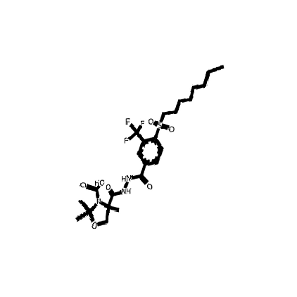 CCCCCCCCS(=O)(=O)c1ccc(C(=O)NNC(=O)C2(C)COC(C)(C)N2C(=O)O)cc1C(F)(F)F